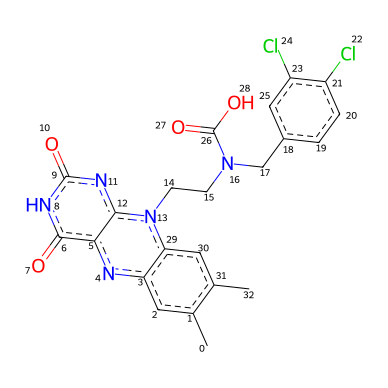 Cc1cc2nc3c(=O)[nH]c(=O)nc-3n(CCN(Cc3ccc(Cl)c(Cl)c3)C(=O)O)c2cc1C